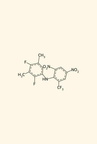 Cc1cc(Nc2c([N+](=O)[O-])cc([N+](=O)[O-])cc2C(F)(F)F)c(F)c(C)c1F